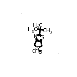 CC(C)(C)c1nc2c(s1)CS(=O)(=O)C2